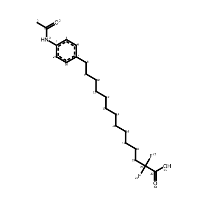 CC(=O)Nc1ccc(CCCCCCCCCCCCC(F)(F)C(=O)O)cc1